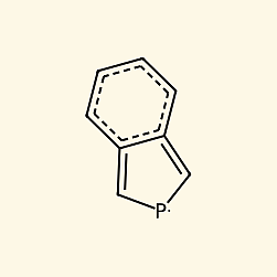 C1=c2ccccc2=C[P]1